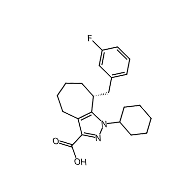 O=C(O)c1nn(C2CCCCC2)c2c1CCCC[C@@H]2Cc1cccc(F)c1